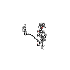 CN1CC[C@H]2CC[C@@H](C(=O)N[C@@H](CCC(N)=O)C(=O)NC(COCCCCCCCCCC#Cc3cccc4c3CN(C3CCC(=O)NC3=O)C4=O)c3ccccc3)N2C(=O)[C@@H](NC(=O)c2[nH]c3ccc(C(F)(F)P(=O)(O)O)cc3c2F)C1